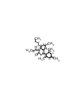 CCCCc1cc(C)nc2c1N(NCC)C(=O)CN2c1c(C)cc(C)cc1C